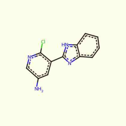 Nc1cnc(Cl)c(-c2nc3ccccc3[nH]2)c1